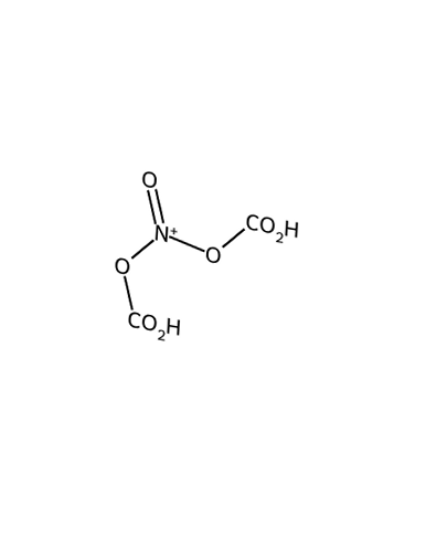 O=C(O)O[N+](=O)OC(=O)O